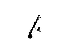 CCC(=O)O.CN(C)CCCCCCCCCCCCCc1ccccc1